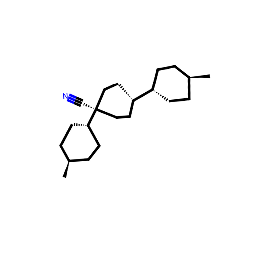 C[C@H]1CC[C@H]([C@H]2CC[C@](C#N)([C@H]3CC[C@H](C)CC3)CC2)CC1